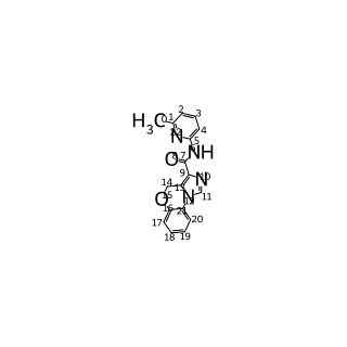 Cc1cccc(NC(=O)c2ncn3c2COc2ccccc2-3)n1